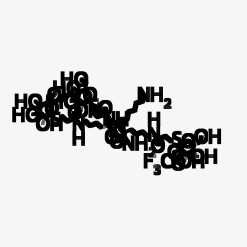 NCCCCCCN(C(=O)[C@H](CCCCNC(=O)CCS[C@@H]1O[C@H](CO)[C@H](O)[C@H](O)[C@H]1O)NC(=O)CCS[C@@H]1O[C@H](CO)[C@H](O)[C@H](O)[C@H]1O)[C@@H](CCCCNC(=O)CCS[C@@H]1O[C@H](CO)[C@H](O)[C@H](O)[C@H]1OC(=O)C(F)(F)F)C(N)=O